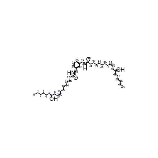 CCCCCCC(O)C/C=C\CCCCCCCC(=O)NCc1cccc(CNC(=O)CCCCCCC/C=C\CC(O)CCCCCC)c1